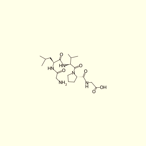 CC(C)C[C@H](NC(=O)CN)C(=O)N[C@H](C(=O)N1CCC[C@H]1C(=O)NCC(=O)O)C(C)C